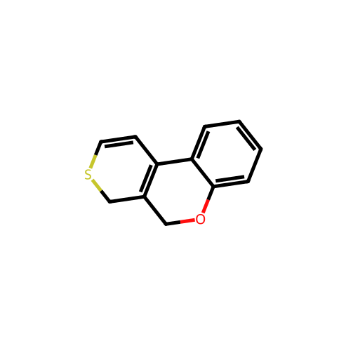 C1=CC2=C(COc3ccccc32)CS1